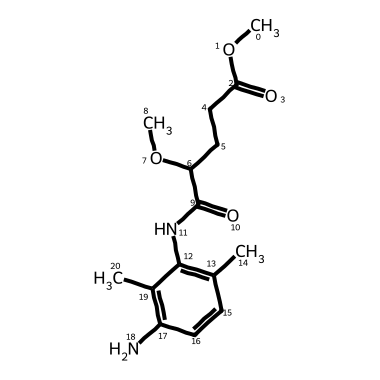 COC(=O)CCC(OC)C(=O)Nc1c(C)ccc(N)c1C